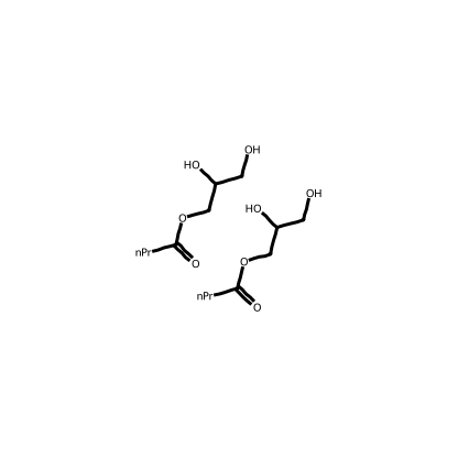 CCCC(=O)OCC(O)CO.CCCC(=O)OCC(O)CO